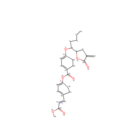 C=C1CC(C(CCCC)OC2=CC=C(C(=O)OC3=CC=C(/C=C/C(=O)OC)CC3)CC2)OC1=O